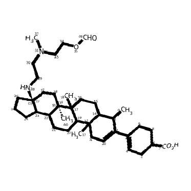 CC1C(C2=CCC(C(=O)O)CC2)=CCC2(C)C1CCC1(C)C2CCC2C3CCC[C@]3(NCCN(C)CCOC=O)CC[C@]21C